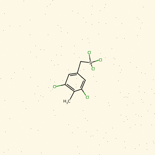 Cc1c(Cl)cc(C[Si](Cl)(Cl)Cl)cc1Cl